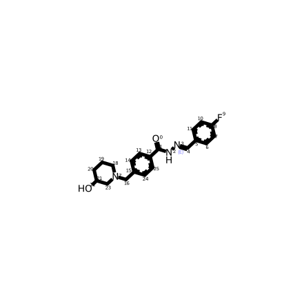 O=C(N/N=C/c1ccc(F)cc1)c1ccc(CN2CCCC(O)C2)cc1